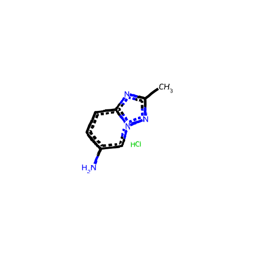 Cc1nc2ccc(N)cn2n1.Cl